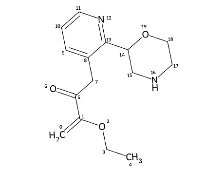 C=C(OCC)C(=O)Cc1cccnc1C1CNCCO1